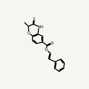 CC1Oc2ccc(C(=O)OC=Cc3ccccc3)cc2NC1=S